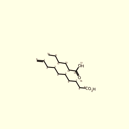 C=CCCCCCCCC(=O)O.CCCCCC(=O)O